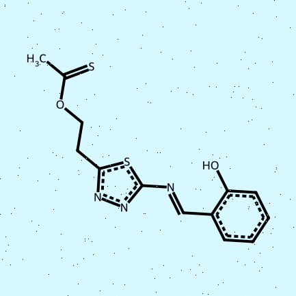 CC(=S)OCCc1nnc(N=Cc2ccccc2O)s1